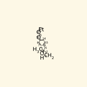 C=CC(C)(O)Cc1ccc(OCOCC)cc1